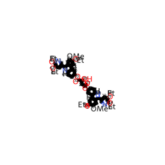 CCOc1cc2c(cc1OC)C(c1cnc(OCC)c(OCC)c1)=N[C@H]1CC[C@H](OC(=O)CC(O)C(=O)O[C@H]3CC[C@@H]4N=C(c5cnc(OCC)c(OCC)c5)c5cc(OC)c(OCC)cc5[C@@H]4C3)C[C@@H]21